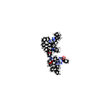 CCC1C2=C(N=C(n3c4ccc5ccccc5c4c4c5c6ccccc6c6ccc(-c7ccc(-n8c9ccccc9c9cc(-c%10nc%11oc%12ccccc%12c%11nc%10-n%10c%11ccc%12ccccc%12c%11c%11c%12c%13ccccc%13c%13ccccc%13c%12ccc%11%10)ccc98)cc7)cc6c5ccc43)C1c1ccc3c(c1)c1ccccc1n3-c1ccccc1)c1ccccc1C2(C)C